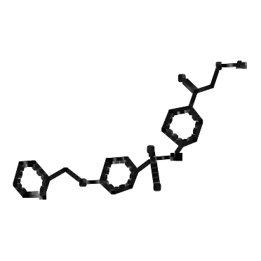 CC(=O)SCC(=O)c1ccc(NS(=O)(=O)c2ccc(OCc3ccccn3)cc2)cc1